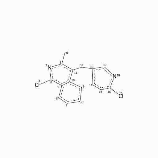 Cc1nc(Cl)c2ccccc2c1Cc1ccc(Cl)nc1